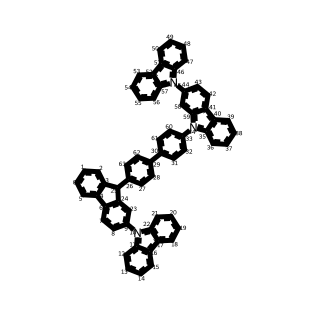 c1ccc2c(c1)-c1ccc(-n3c4ccccc4c4ccccc43)cc1C2c1ccc(-c2ccc(-n3c4ccccc4c4ccc(-n5c6ccccc6c6ccccc65)cc43)cc2)cc1